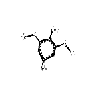 [CH2]c1c(OC(F)(F)F)cc(C(F)(F)F)cc1OC(F)(F)F